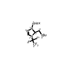 CCCCCCN1N=CN(C(F)(F)C(F)(F)F)C1CC(C)(C)C